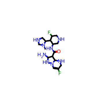 CN1CNCC1C1C(F)CNCC1NC(=O)C1C(N)NN2C=C(F)CNC12